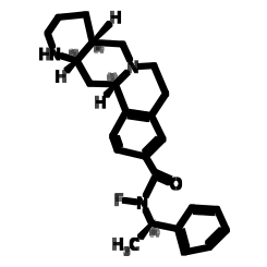 C[C@H](c1ccccc1)N(F)C(=O)c1ccc2c(c1)CCN1C[C@H]3CCCN[C@H]3C[C@@H]21